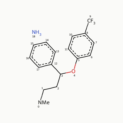 CNCCC(Oc1ccc(C(F)(F)F)cc1)c1ccccc1.N